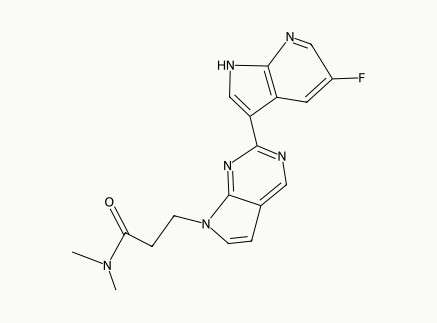 CN(C)C(=O)CCn1ccc2cnc(-c3c[nH]c4ncc(F)cc34)nc21